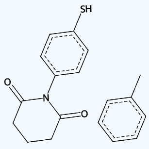 Cc1ccccc1.O=C1CCCC(=O)N1c1ccc(S)cc1